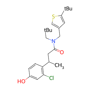 CC(CC(=O)N(Cc1csc(C(C)(C)C)c1)CC(C)(C)C)c1ccc(O)cc1Cl